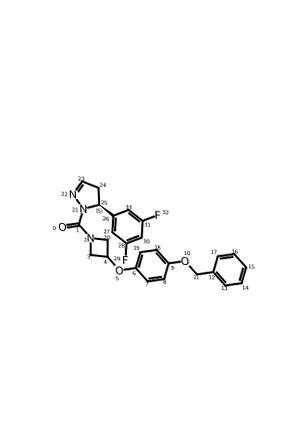 O=C(N1CC(Oc2ccc(OCc3ccccc3)cc2)C1)N1N=CC[C@H]1c1cc(F)cc(F)c1